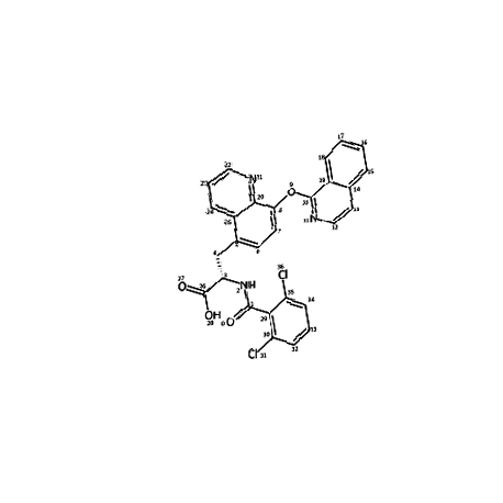 O=C(N[C@@H](Cc1ccc(Oc2nccc3ccccc23)c2ncccc12)C(=O)O)c1c(Cl)cccc1Cl